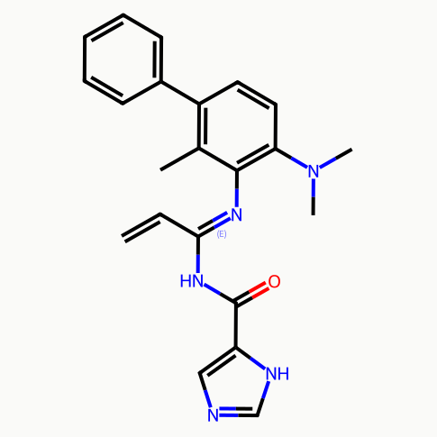 C=C/C(=N\c1c(N(C)C)ccc(-c2ccccc2)c1C)NC(=O)c1cnc[nH]1